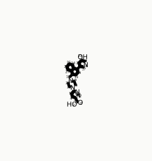 O=C(O)c1ccc(N2CCN(Cc3ccc(-c4cncc(O)c4)c4ccccc34)CC2)nn1